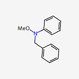 CON(Cc1ccccc1)c1ccccc1